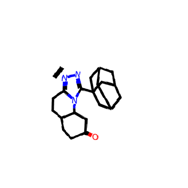 C=C.O=C1CCC2CCc3nnc(C45CC6CC(CC(C6)C4)C5)n3C2C1